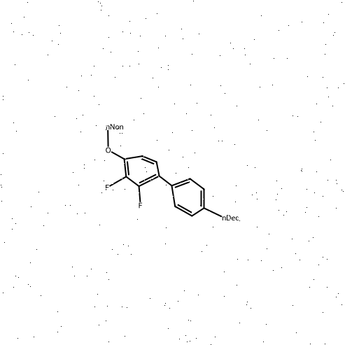 CCCCCCCCCCc1ccc(-c2ccc(OCCCCCCCCC)c(F)c2F)cc1